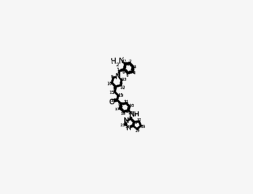 Nc1ccccc1CN1CCC(CCC(=O)c2ccc(Nc3ncnc4c3CCC4)cc2)CC1